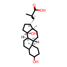 C/C(=C\[C@H]1CC[C@@]2(O)[C@@H]3CCC4CC(O)CC[C@]4(C)[C@H]3CC[C@]12C)C(=O)O